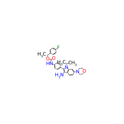 CC(C)n1c(-c2ccc(NC(=O)O[C@H](C)c3ccc(F)cc3)cc2)c(N)c2ccc(N3CCOCC3)cc21